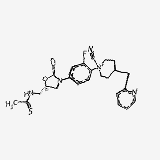 CC(=S)NC[C@H]1CN(c2ccc([N+]3(C#N)CCC(Cc4ccccn4)CC3)c(F)c2)C(=O)O1